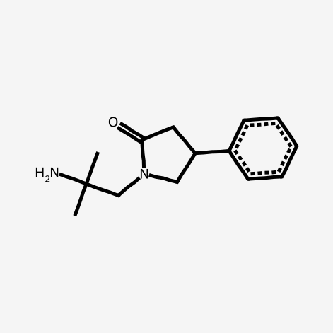 CC(C)(N)CN1CC(c2ccccc2)CC1=O